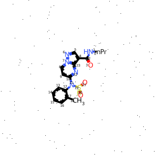 CCCNC(=O)c1cnn2ccc(N(c3ccccc3C)[SH](=O)=O)nc12